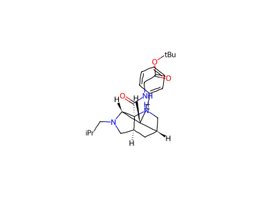 CC(C)CN1C[C@@H]2C[C@H]3CN[C@]2(C(=O)NCC(=O)OC(C)(C)C)[C@@H]1[C@@H]3Cc1ccccc1